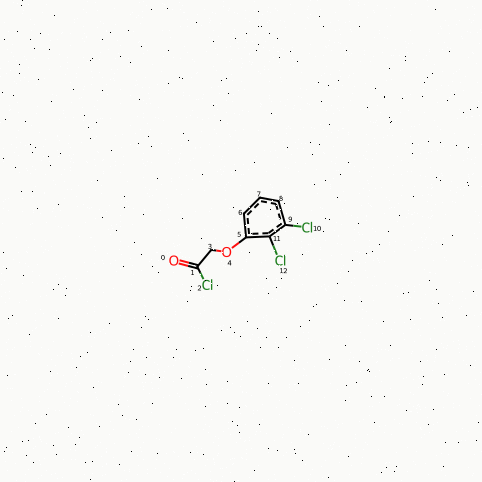 O=C(Cl)COc1cccc(Cl)c1Cl